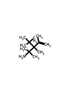 C=C(C)C(C)(C(C)(C)C)C(C)(C)N